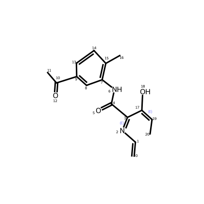 C=C/N=C(C(=O)Nc1cc(C(C)=O)ccc1C)\C(O)=C/C